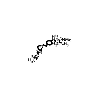 CN/N=C(/NC(=O)NC1CCC(CCN2CCc3sc(OCC(C)(F)F)nc3C2)CC1)C(C)N